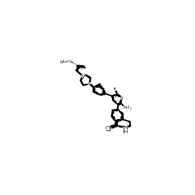 CO[C@H](C)CN1CCN(c2ccc(-c3cc(-c4ccc5c(c4)CCNC5=O)c(N)nc3F)cc2)CC1